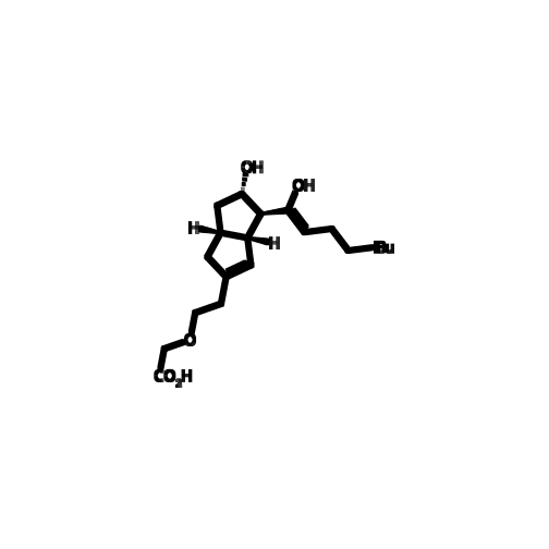 CCC(C)CCC=C(O)[C@H]1[C@@H]2C=C(CCOCC(=O)O)C[C@@H]2C[C@@H]1O